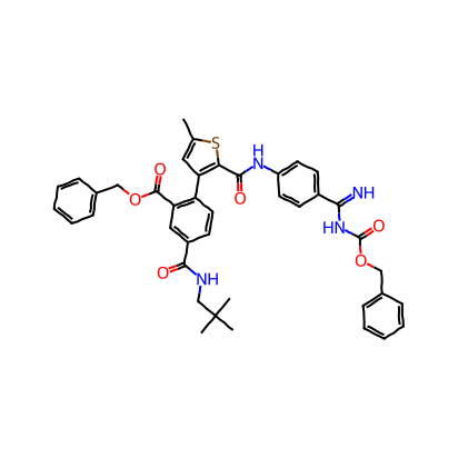 Cc1cc(-c2ccc(C(=O)NCC(C)(C)C)cc2C(=O)OCc2ccccc2)c(C(=O)Nc2ccc(C(=N)NC(=O)OCc3ccccc3)cc2)s1